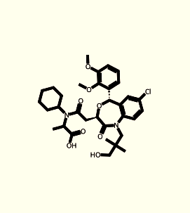 COc1cccc([C@H]2O[C@H](CC(=O)N(C3CCCCC3)C(C)C(=O)O)C(=O)N(CC(C)(C)CO)c3ccc(Cl)cc32)c1OC